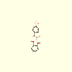 CS(=O)(=O)c1ccc(C(O)C(CO)N2C(=O)c3ccccc3C2=O)cc1